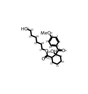 COc1ccc(C(=O)C2(O)CCCCC2C(=O)OCCCCCCO)cc1